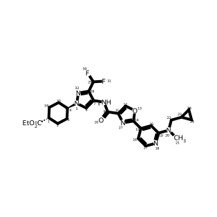 CCOC(=O)[C@H]1CC[C@H](n2cc(NC(=O)c3coc(-c4ccnc(N(C)CC5CC5)c4)n3)c(C(F)F)n2)CC1